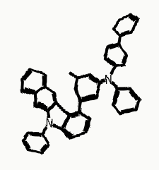 CC1C=C(N(c2ccccc2)c2ccc(C3=CC=CCC3)cc2)C=C(c2cccc3c2c2cc4ccccc4cc2n3-c2ccccc2)C1